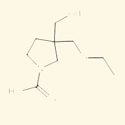 CCOCC1(CO)CCN(C(=O)O)C1